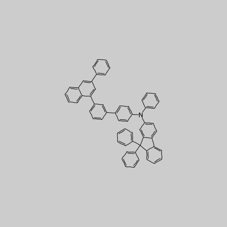 c1ccc(-c2cc(-c3cccc(-c4ccc(N(c5ccccc5)c5ccc6c(c5)C(c5ccccc5)(c5ccccc5)c5ccccc5-6)cc4)c3)c3ccccc3c2)cc1